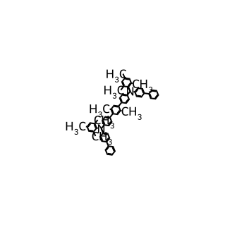 Cc1cc(C)c(N(c2ccc(-c3ccccc3)cc2)c2ccc(-c3cc(C)c(-c4ccc(N(c5ccc(-c6ccccc6)cc5)c5c(C)cc(C)cc5C)cc4)cc3C)cc2)c(C)c1